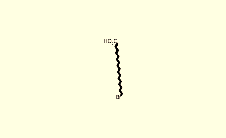 O=C(O)C=CC=CCCCCCCCCCCCCCBr